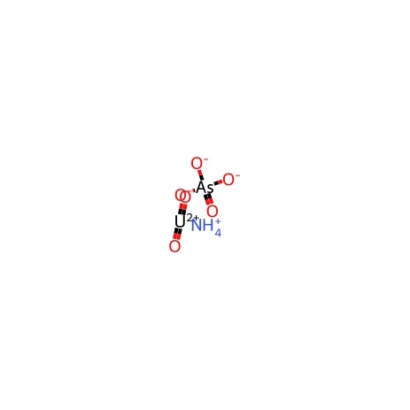 O=[As]([O-])([O-])[O-].[NH4+].[O]=[U+2]=[O]